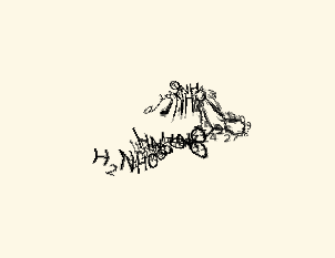 CCSC[C@H](N)C(N)=O.NCCCC[C@H](NC(=O)CONC(=O)OCC1c2ccccc2-c2ccccc21)C(=O)O